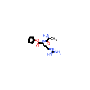 C[C@H](N)C(=O)N[C@@H](CCCNC(=N)N)C(=O)Oc1ccccc1